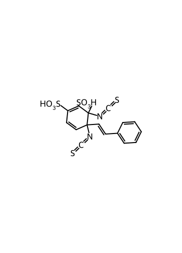 O=S(=O)(O)C1=CC(N=C=S)(S(=O)(=O)O)C(C=Cc2ccccc2)(N=C=S)C=C1